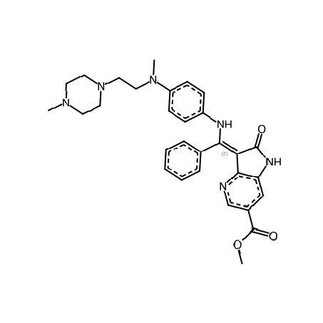 COC(=O)c1cnc2c(c1)NC(=O)/C2=C(\Nc1ccc(N(C)CCN2CCN(C)CC2)cc1)c1ccccc1